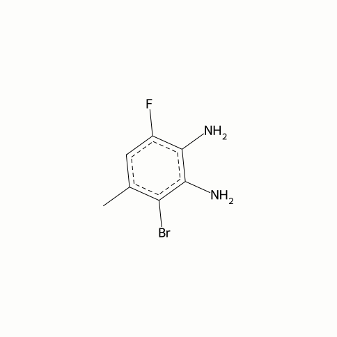 Cc1cc(F)c(N)c(N)c1Br